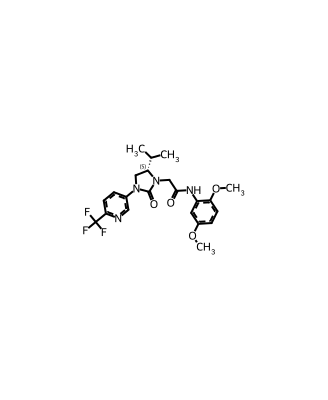 COc1ccc(OC)c(NC(=O)CN2C(=O)N(c3ccc(C(F)(F)F)nc3)C[C@@H]2C(C)C)c1